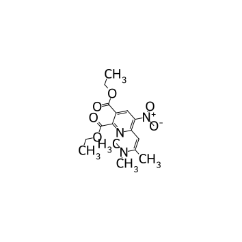 CCOC(=O)c1cc([N+](=O)[O-])c(C=C(C)N(C)C)nc1C(=O)OCC